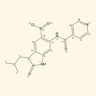 CC(C)CC1C(=O)Nc2cc(NC(=O)c3ccncc3)c([N+](=O)[O-])cc21